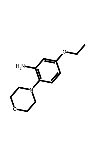 CCOc1[c]cc(N2CCOCC2)c(N)c1